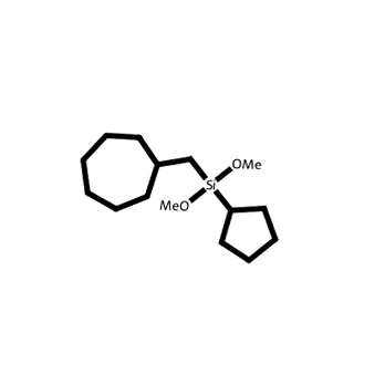 CO[Si]([CH]C1CCCCCC1)(OC)C1CCCC1